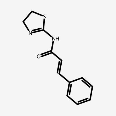 O=C(C=Cc1ccccc1)NC1=NCCS1